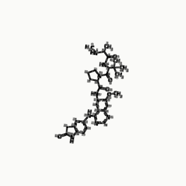 CNC(C)C(=O)NC(C(=O)N1CCCC1C(=O)Nc1cc2c(Nc3ccc4c(c3)CC(=O)N4)ncnc2cc1OC)C(C)(C)C